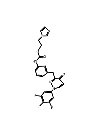 O=C(Nc1cccc(Cc2nn(-c3cc(F)c(F)c(F)c3)ccc2=O)c1)OCCn1ccnc1